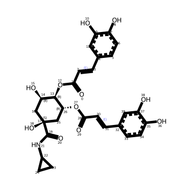 O=C(/C=C/c1ccc(O)c(O)c1)O[C@@H]1[C@H](O)C[C@@](O)(C(=O)NC2CC2)C[C@H]1OC(=O)/C=C/c1ccc(O)c(O)c1